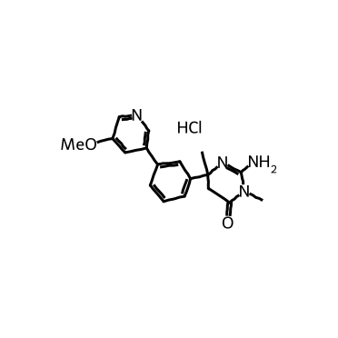 COc1cncc(-c2cccc(C3(C)CC(=O)N(C)C(N)=N3)c2)c1.Cl